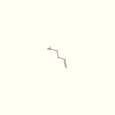 O=CC[CH]S